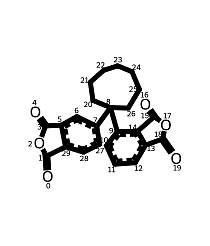 O=C1OC(=O)c2cc(C3(c4cccc5c4C(=O)OC5=O)CCCCCCC3)ccc21